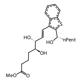 CCCCC[C@H](O)c1sc2ccccc2c1/C=C/[C@@H](O)[C@@H](O)CCCC(=O)OC